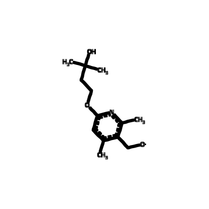 Cc1cc(OCCC(C)(C)O)nc(C)c1C[O]